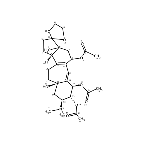 CC(=O)OC1CC2(C)[C@@H](CCC23OCCO3)C2=C1C=C1[C@@H](OC(C)=O)[C@H](OC(C)=O)[C@@H](N(C)C)C[C@]1(O)CC2